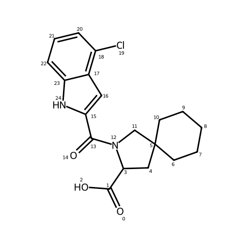 O=C(O)C1CC2(CCCCC2)CN1C(=O)c1cc2c(Cl)cccc2[nH]1